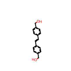 OCc1ccc(C=Cc2ccc(CO)cc2)cc1